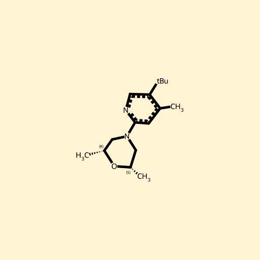 Cc1cc(N2C[C@@H](C)O[C@@H](C)C2)ncc1C(C)(C)C